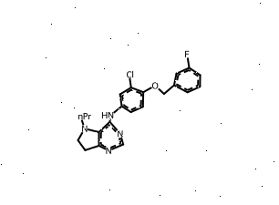 CCCN1CCc2ncnc(Nc3ccc(OCc4cccc(F)c4)c(Cl)c3)c21